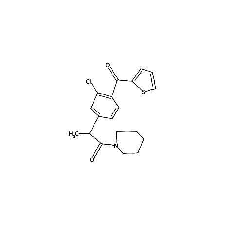 CC(C(=O)N1CCCCC1)c1ccc(C(=O)c2cccs2)c(Cl)c1